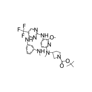 CNc1cccc(Nc2nc(Nc3ccc(N(C)C4CCN(C(=O)OC(C)(C)C)C4)nc3OC)ncc2C(F)(F)F)c1